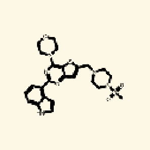 CS(=O)(=O)N1CCN(Cc2cc3nc(-c4cccc5[nH]ccc45)nc(N4CCOCC4)c3s2)CC1